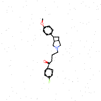 COc1ccc(C2CC3CN(CCCC(=O)c4ccc(F)cc4)CC32)cc1